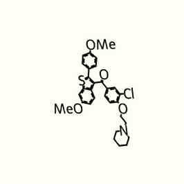 COc1ccc(-c2sc3cc(OC)ccc3c2C(=O)c2ccc(OCCN3CCCCC3)c(Cl)c2)cc1